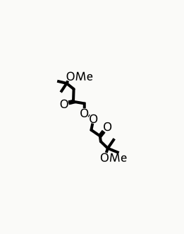 COC(C)(C)CC(=O)COOCC(=O)CC(C)(C)OC